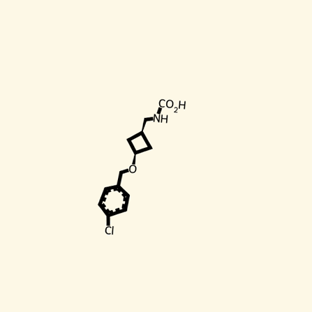 O=C(O)NC[C@H]1C[C@@H](OCc2ccc(Cl)cc2)C1